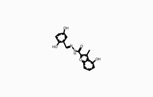 Cc1c(C(=O)N/N=C/c2cc(O)ccc2O)oc2cccc(O)c12